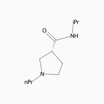 CCCN1CC[C@@H](C(=O)NC(C)C)C1